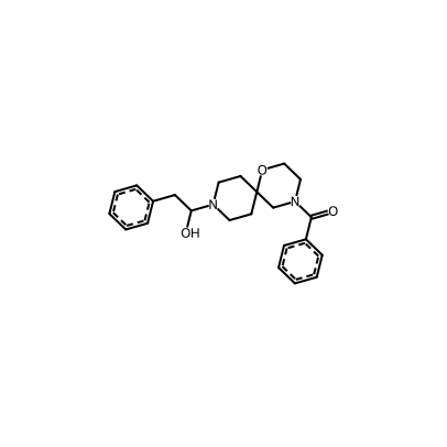 O=C(c1ccccc1)N1CCOC2(CCN(C(O)Cc3ccccc3)CC2)C1